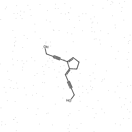 OCC#C/C=C1\CCC=C1C#CCO